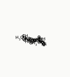 CC(C)(C)OC(=O)NCC(=O)NC1(C)COc2cc(C[C@H](NS(=O)(=O)c3ccc4ccccc4c3)C(=O)O)ccc2O1